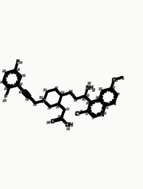 COc1ccc2ncc(Cl)c([C@H](N)CCC3CCN(CC#Cc4cc(F)ccc4F)CC3CC(=O)O)c2c1